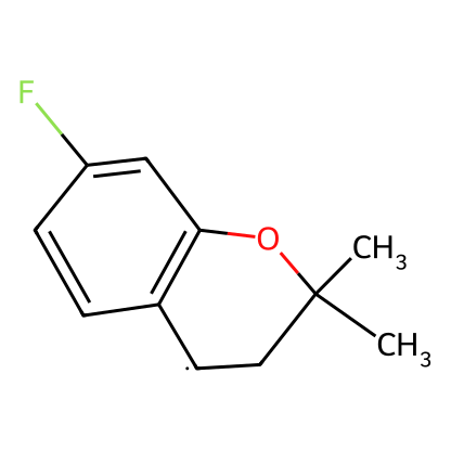 CC1(C)C[CH]c2ccc(F)cc2O1